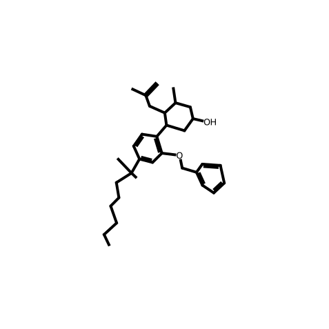 C=C(C)CC1C(C)CC(O)CC1c1ccc(C(C)(C)CCCCCC)cc1OCc1ccccc1